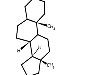 C[C@]12CCCCC1CC[C@@H]1C2CC[C@]2(C)CCC[C@@H]12